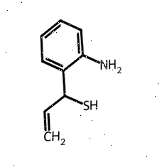 C=CC(S)c1ccccc1N